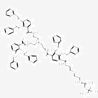 CC(C)(C)OC(=O)NCCOCCNC(=O)c1ccc(C(=O)NCCN(CCNC(=O)c2cccc(OCc3ccccc3)c2OCc2ccccc2)CCNC(=O)c2cccc(OCc3ccccc3)c2OCc2ccccc2)c(OCc2ccccc2)c1OCc1ccccc1